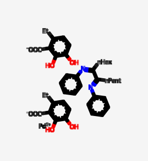 CCCCCCC(=Nc1ccccc1)C(CCCCC)=Nc1ccccc1.CCc1ccc(O)c(O)c1C(=O)[O-].CCc1ccc(O)c(O)c1C(=O)[O-].[Pd+2]